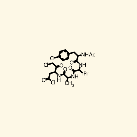 CC(=O)NC(Cc1ccc(Cl)cc1)C(=O)NC(C(=O)NC(C)C(=O)NC(CC(=O)Cl)C(=O)CCl)C(C)C